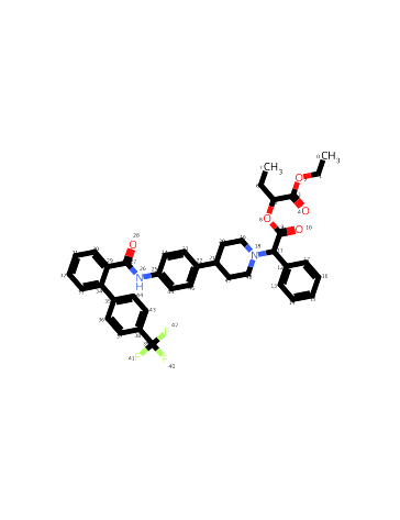 CCOC(=O)C(CC)OC(=O)C(c1ccccc1)N1CCC(c2ccc(NC(=O)c3ccccc3-c3ccc(C(F)(F)F)cc3)cc2)CC1